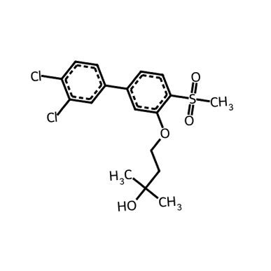 CC(C)(O)CCOc1cc(-c2ccc(Cl)c(Cl)c2)ccc1S(C)(=O)=O